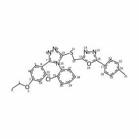 CCOc1ccc(-c2nnc(SCc3nnc(-c4ccc(C)cc4)o3)n2-c2ccccc2Cl)cc1